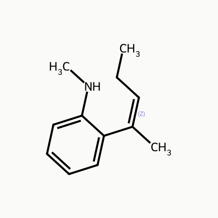 CC/C=C(/C)c1ccccc1NC